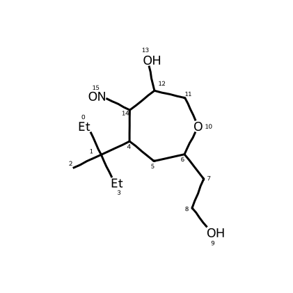 CCC(C)(CC)C1CC(CCO)OCC(O)C1N=O